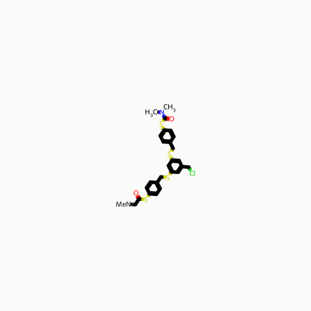 CNCC(=O)Sc1ccc(CSc2cc(CCl)cc(SCc3ccc(SC(=O)N(C)C)cc3)c2)cc1